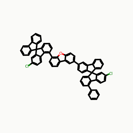 Clc1ccc2c(c1)C1(c3ccccc3-c3cc(-c4ccc5oc6c(-c7cccc8c7-c7ccc(Cl)cc7C87c8ccccc8-c8ccccc87)cccc6c5c4)ccc31)c1cccc(-c3ccccc3)c1-2